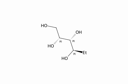 CC[C@@H](O)[C@@H](O)[C@H](O)CO